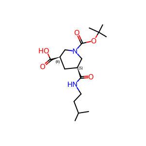 CC(C)CCNC(=O)[C@H]1C[C@@H](C(=O)O)CN(C(=O)OC(C)(C)C)C1